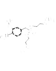 COCCOP(=O)(Cc1ccc(N)c(OC)c1)OCCOC